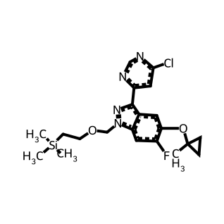 CC1(Oc2cc3c(-c4cc(Cl)ncn4)nn(COCC[Si](C)(C)C)c3cc2F)CC1